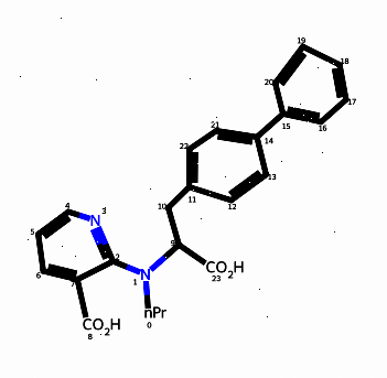 CCCN(c1ncccc1C(=O)O)C(Cc1ccc(-c2ccccc2)cc1)C(=O)O